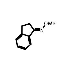 CON=C1CCc2c[c]ccc21